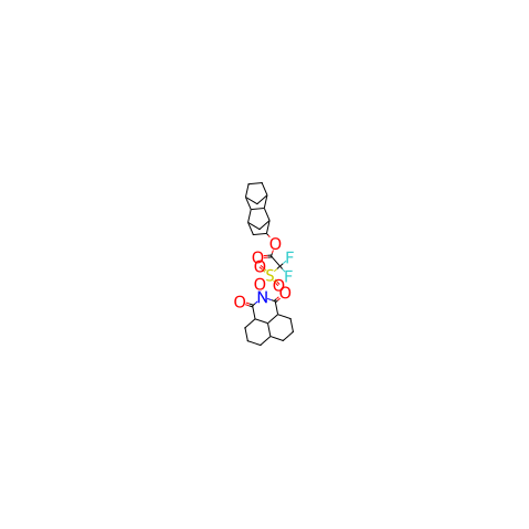 O=C1C2CCCC3CCCC(C(=O)N1OS(=O)(=O)C(F)(F)C(=O)OC1CC4CC1C1C5CCC(C5)C41)C32